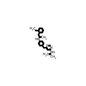 C=C(C)Nc1cc(Cc2ccc(NC(=C)Cc3ccccc3CC)cc2)ncn1